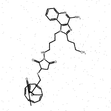 CCCCc1nc2c(N)nc3ccccc3c2n1CCCCNN1C(=O)CC(SCC2N=c3c(c4cc\c3=C/C=C\C=C/4)C2=O)C1=O